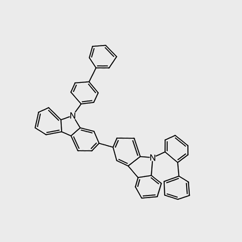 c1ccc(-c2ccc(-n3c4ccccc4c4ccc(-c5ccc6c(c5)c5ccccc5n6-c5ccccc5-c5ccccc5)cc43)cc2)cc1